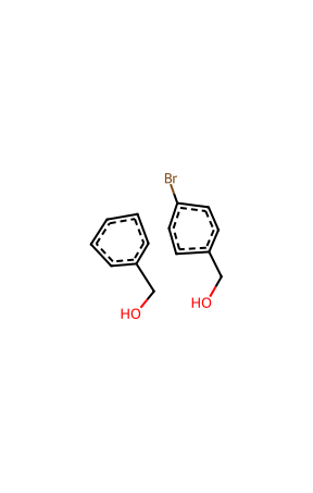 OCc1ccc(Br)cc1.OCc1ccccc1